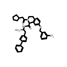 O=C(N[C@@H](Cc1ccc(-c2ccccc2)cc1)C(=O)O)C1c2cc(OCc3cccc(C(F)(F)F)c3)ccc2CCN1C(=O)CC1CCCC1